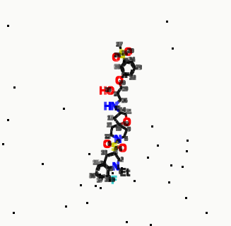 CCN1CC(S(=O)(=O)N2CCC3(CC2)C[C@@H](NC[C@H](O)COc2cccc(S(C)(=O)=O)c2)CO3)=Cc2cccc(F)c21